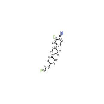 N#Cc1ccc(-c2ccc([C@H]3CC[C@H](CC=CF)CC3)cc2)cc1F